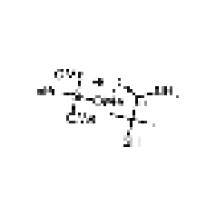 CC(C)(S)[C@H](N)C(=O)O.CCC[Si](OC)(OC)OC